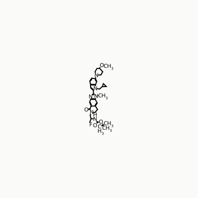 COC1CCN(c2ccc3cc(-c4nc5cc6c(cc5n4C)CCN(CC(CF)NC(=O)OC(C)(C)C)C6=O)n(CC4CC4)c3c2)CC1